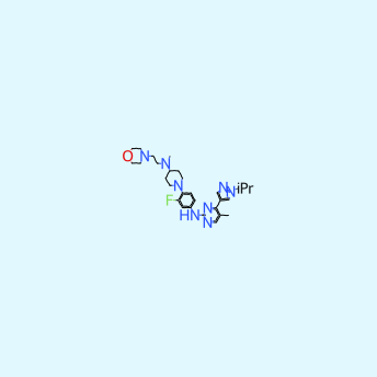 Cc1cnc(Nc2ccc(N3CCC(N(C)CCN4CCOCC4)CC3)c(F)c2)nc1-c1cnn(C(C)C)c1